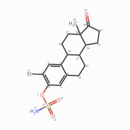 CCc1cc2c(cc1OS(N)(=O)=O)CCC1C2CCC2(C)C(=O)CCC12